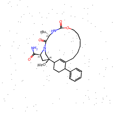 CO[C@@]12C[C@@H](C(N)=O)N(C1)C(=O)[C@H](C(C)(C)C)NC(=O)OCCCCCCC1=CC2CCC1c1ccccc1